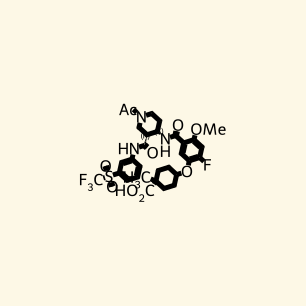 COc1cc(F)c(OC2CCC(C)(C(=O)O)CC2)cc1C(=O)N[C@H]1CCN(C(C)=O)C[C@H]1C(=O)Nc1cccc(S(=O)(=O)C(F)(F)F)c1